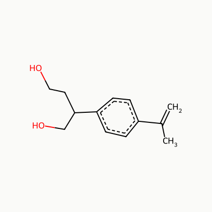 C=C(C)c1ccc(C(CO)CCO)cc1